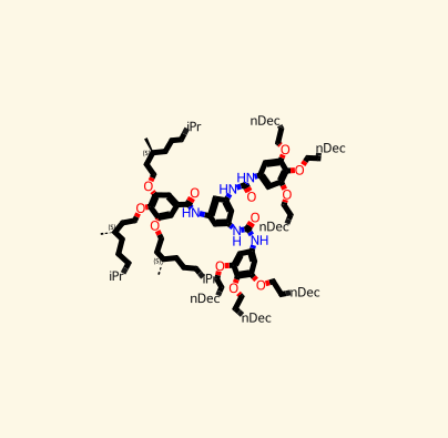 CCCCCCCCCCCCOc1cc(NC(=O)Nc2cc(NC(=O)Nc3cc(OCCCCCCCCCCCC)c(OCCCCCCCCCCCC)c(OCCCCCCCCCCCC)c3)cc(NC(=O)c3cc(OCC[C@@H](C)CCCC(C)C)c(OCC[C@@H](C)CCCC(C)C)c(OCC[C@@H](C)CCCC(C)C)c3)c2)cc(OCCCCCCCCCCCC)c1OCCCCCCCCCCCC